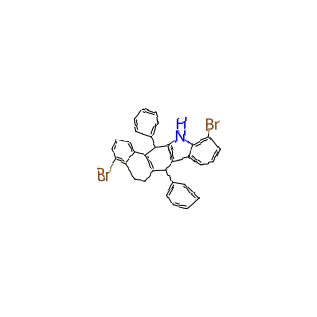 Brc1cccc2c1CCC1=C2C(c2ccccc2)c2[nH]c3c(Br)cccc3c2C1c1ccccc1